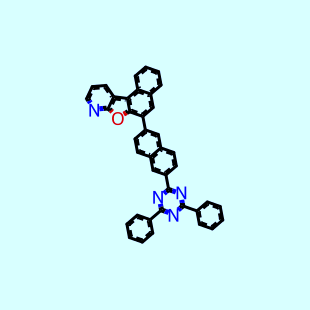 c1ccc(-c2nc(-c3ccccc3)nc(-c3ccc4cc(-c5cc6ccccc6c6c5oc5ncccc56)ccc4c3)n2)cc1